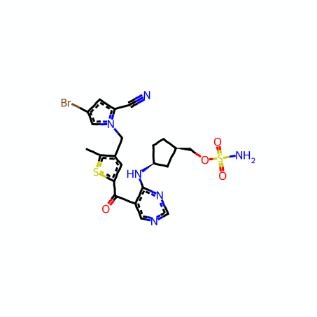 Cc1sc(C(=O)c2cncnc2N[C@H]2CC[C@@H](COS(N)(=O)=O)C2)cc1Cn1cc(Br)cc1C#N